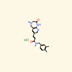 Cc1ccc(CN(C)C(=O)/C=C/c2cnc3c(c2)CN(C)CC(=O)N3)cc1C.Cl